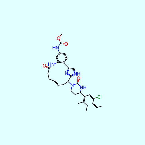 C\C=C/C(Cl)=C\C(=C(\C)CC)C1CCN(C2C/C=C/CCC(=O)Nc3cc(NC(=O)OC)ccc3-c3c[nH]c2n3)C(=O)N1